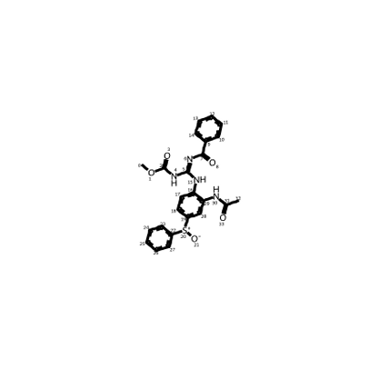 COC(=O)N/C(=N/C(=O)c1ccccc1)Nc1ccc([S+]([O-])c2ccccc2)cc1NC(C)=O